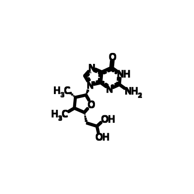 CC1[C@@H](CC(O)O)O[C@@H](n2cnc3c(=O)[nH]c(N)nc32)[C@H]1C